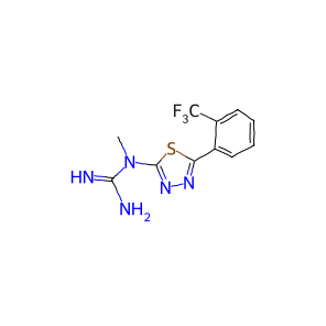 CN(C(=N)N)c1nnc(-c2ccccc2C(F)(F)F)s1